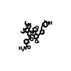 CCc1nc2c(cnn2CC)c(NC2CCOCC2)c1CN(Cc1cc(OC)cc(-c2cccc(CN3CCN[C@@H](C)C3)c2)c1)C(=O)c1cccc(C(N)=O)c1